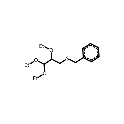 CCO[C](OCC)C(CSCc1ccccc1)OCC